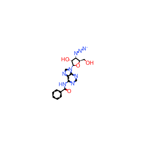 [N-]=[N+]=N[C@H]1[C@@H](O)[C@H](n2cnc3c(NC(=O)c4ccccc4)ncnc32)O[C@@H]1CO